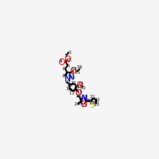 CCOC(=O)CCc1cn(Cc2ccc(OCc3nc(-c4cccs4)oc3C)c(OC)c2)nc1OCC